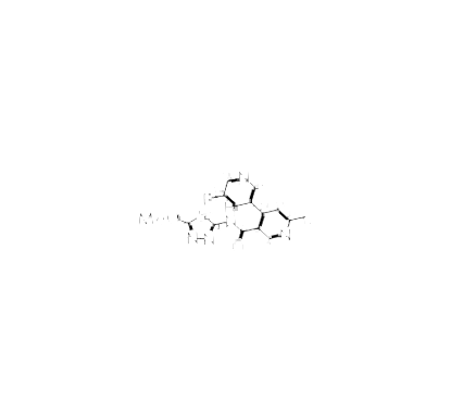 COc1nnc(NC(=O)c2cnc(C)cc2-c2cncc(F)c2)s1